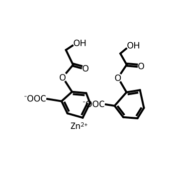 O=C(CO)Oc1ccccc1C(=O)[O-].O=C(CO)Oc1ccccc1C(=O)[O-].[Zn+2]